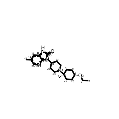 CCO[C@H]1CC[C@](C)(N2CCC(n3c(=O)[nH]c4cc(C)cnc43)CC2)CC1